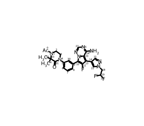 CC(=O)N1CCN(c2cccc(-c3c(F)c(-c4cnn(CC(F)F)c4)c4c(N)ncnn34)c2)C(=O)C1(C)C